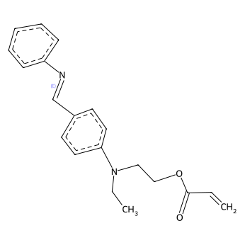 C=CC(=O)OCCN(CC)c1ccc(/C=N/c2ccccc2)cc1